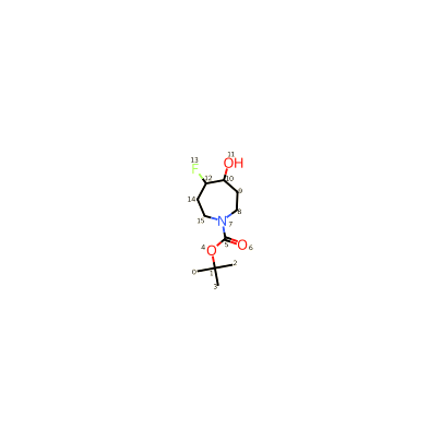 CC(C)(C)OC(=O)N1CCC(O)C(F)CC1